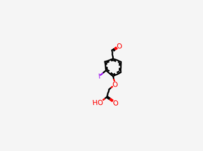 O=Cc1ccc(OCC(=O)O)c(I)c1